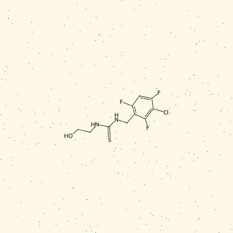 OCCNC(=S)NCc1c(F)cc(F)c(Cl)c1F